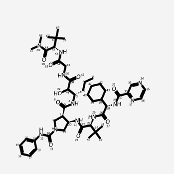 CCC[C@H](NC(=O)[C@@H]1CN(C(=O)Nc2ccccc2)C[C@@H]1NC(=O)[C@@H](NC(=O)[C@@H](NC(=O)c1cnccn1)C1CCCCC1)C(C)(C)C)C(O)C(=O)NCC(=O)N[C@H](C(=O)N(C)C)C(C)(C)C